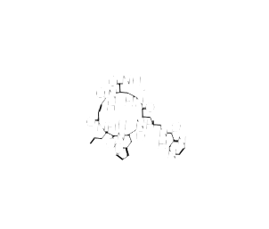 C=CCC1NC(=O)C=CC(=O)NC(C(N)=O)CCNC(=O)C(CCCNC(=O)c2cnccn2)NC(=O)C(Cc2ccco2)NC1=O